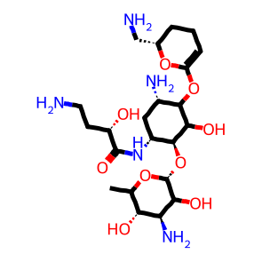 CC1O[C@H](O[C@@H]2C(O)C(OC3=CCC[C@@H](CN)O3)[C@@H](N)C[C@H]2NC(=O)[C@@H](O)CCN)C(O)[C@@H](N)[C@@H]1O